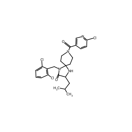 CC(C)CC1NC2(CCN(C(=O)c3ccc(Cl)nc3)CC2)N(Cc2c(Cl)cccc2Cl)C1=O